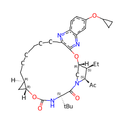 CC[C@@H]1[C@@H]2CN(C(=O)[C@H](C(C)(C)C)NC(=O)O[C@@H]3C[C@H]3CCCCCCc3nc4ccc(OC5CC5)cc4nc3O2)[C@@H]1C(C)=O